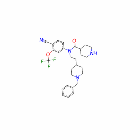 N#Cc1ccc(N(CCC2CCN(Cc3ccccc3)CC2)C(=O)C2CCNCC2)cc1OC(F)(F)F